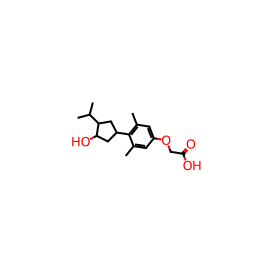 Cc1cc(OCC(=O)O)cc(C)c1C1CC(O)C(C(C)C)C1